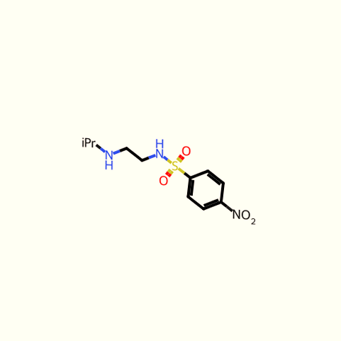 CC(C)NCCNS(=O)(=O)c1ccc([N+](=O)[O-])cc1